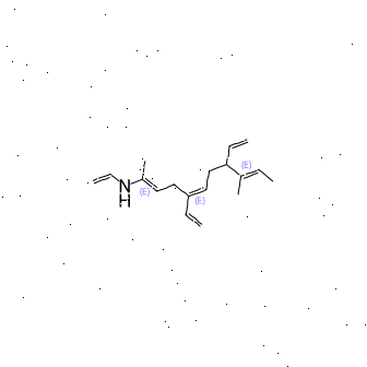 C=CN/C(C)=C/C/C(C=C)=C\CC(C=C)/C(C)=C/C